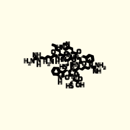 CCCC[C@H](NC(=O)[C@@H](N)CCCNC(=N)N)C(=O)N[C@@H](CS)C(=O)N[C@@H](Cc1c[nH]cn1)C(=O)N[C@H](Cc1ccccc1)C(=O)N[C@@H](CCCNC(=N)N)C(=O)N[C@@H](Cc1c[nH]c2ccccc12)C(=O)N[C@@H](CS)C(=O)O